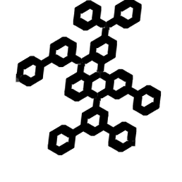 c1ccc(-c2cc(-c3ccncc3)cc(N3c4cc(-c5ccccc5)ccc4B4c5ccc(N(c6ccccc6)c6ccccc6)cc5N(c5cccc(-c6ccncc6)c5)c5cccc3c54)c2)cc1